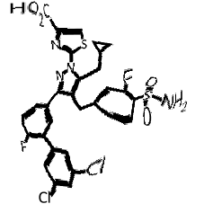 NS(=O)(=O)c1ccc(Cc2c(-c3ccc(F)c(-c4cc(Cl)cc(Cl)c4)c3)nn(-c3nc(C(=O)O)cs3)c2CC2CC2)cc1F